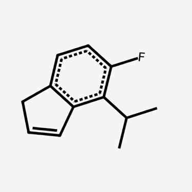 CC(C)c1c(F)ccc2c1C=CC2